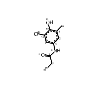 Cc1cc(NC(=O)CF)cc(Cl)c1O